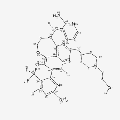 COCCN1CCC(Oc2nc3c4c(c(Cl)c(-c5nc(N)cc(C)c5C(F)(F)F)c(F)c4n2)OCCN3[C@H](C)c2nccnc2N)CC1